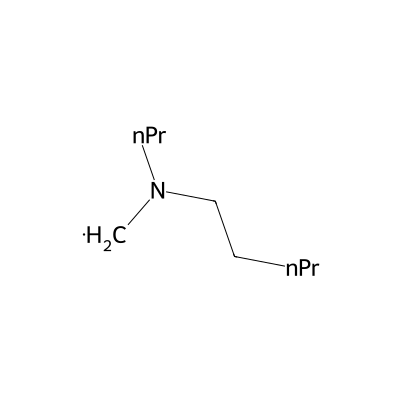 [CH2]N(CCC)CCCCC